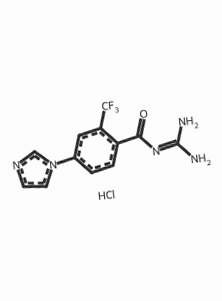 Cl.NC(N)=NC(=O)c1ccc(-n2ccnc2)cc1C(F)(F)F